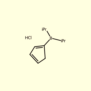 CC(C)B(C1=CC=CC1)C(C)C.Cl